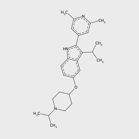 Cc1cc(-c2[nH]c3ccc(OC4CCN(C(C)C)CC4)cc3c2C(C)C)cc(C)n1